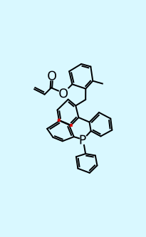 C=CC(=O)Oc1cccc(C)c1Cc1ccccc1-c1ccccc1P(c1ccccc1)c1ccccc1